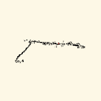 CN[C@@H](CCCCNC(=O)COCCOCCNC(=O)COCCOCCNC(=O)COCCOCCNC(=O)COCCOCCNC(=O)CC[C@H](NC(=O)CCCCCCCCCCCCCCCCCCC(=O)O)C(=O)O)C(C)=O